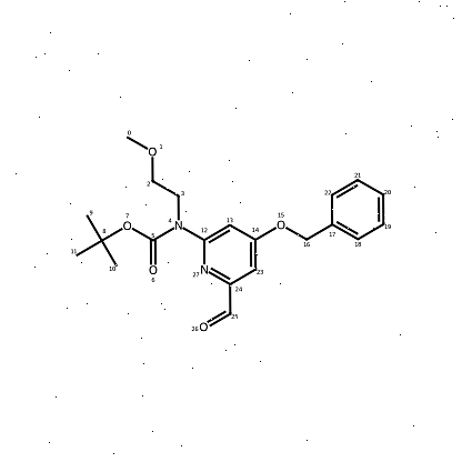 COCCN(C(=O)OC(C)(C)C)c1cc(OCc2ccccc2)cc(C=O)n1